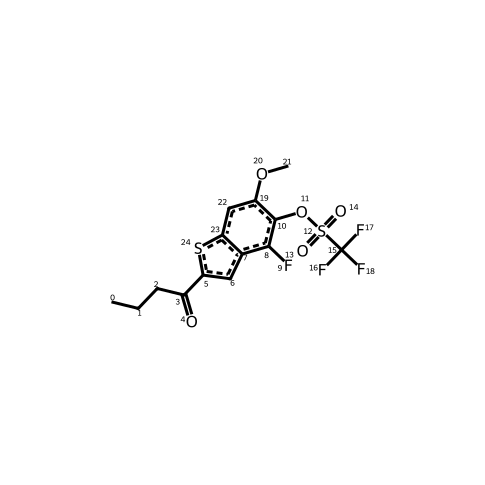 CCCC(=O)c1cc2c(F)c(OS(=O)(=O)C(F)(F)F)c(OC)cc2s1